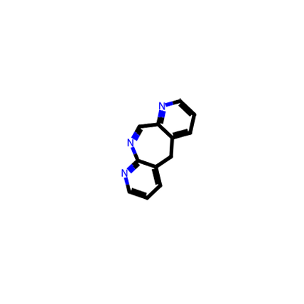 [c]1ccc2c(n1)C=Nc1ncccc1C2